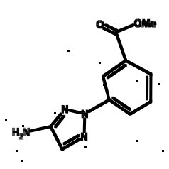 COC(=O)c1cccc(-n2ncc(N)n2)c1